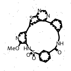 COc1ncc2cc1NS(=O)(=O)c1cccc(c1)C(=O)NCc1cccc(c1)-c1ncnc3sc-2cc13